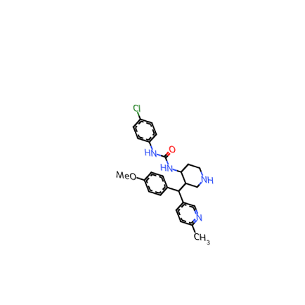 COc1ccc(C(c2ccc(C)nc2)C2CNCCC2NC(=O)Nc2ccc(Cl)cc2)cc1